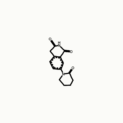 O=C1Cc2ccc(N3CCCCC3=O)cc2C(=O)N1